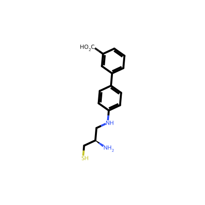 N[C@@H](CS)CNc1ccc(-c2cccc(C(=O)O)c2)cc1